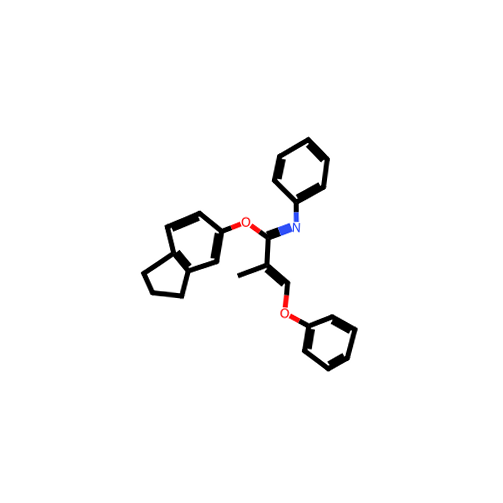 CC(=C\Oc1ccccc1)/C(=N/c1ccccc1)Oc1ccc2c(c1)CCC2